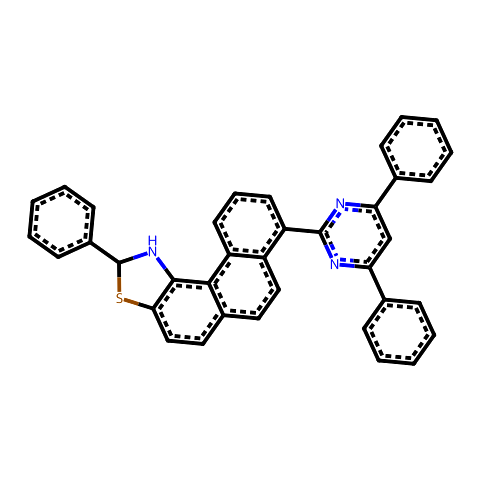 c1ccc(-c2cc(-c3ccccc3)nc(-c3cccc4c3ccc3ccc5c(c34)NC(c3ccccc3)S5)n2)cc1